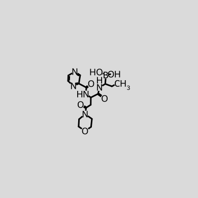 CCC(NC(=O)C(CC(=O)N1CCOCC1)NC(=O)c1cnccn1)B(O)O